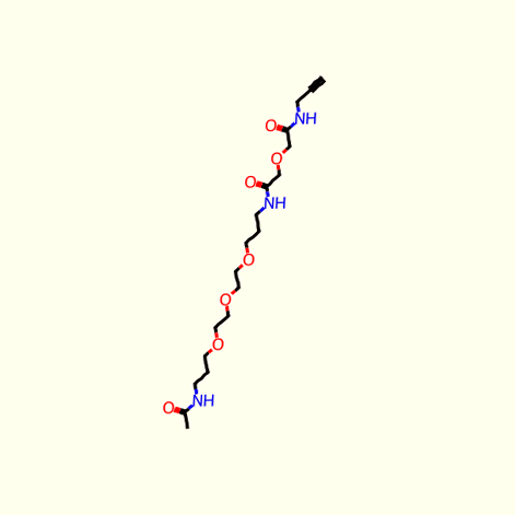 C#CCNC(=O)COCC(=O)NCCCOCCOCCOCCCNC(C)=O